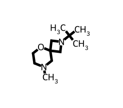 CN1CCOC2(C1)CN(C(C)(C)C)C2